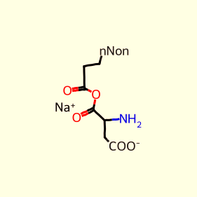 CCCCCCCCCCCC(=O)OC(=O)C(N)CC(=O)[O-].[Na+]